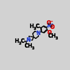 COc1cc(N2CCC3(CC2)CN(C(C)C)C3)c(C)cc1[N+](=O)[O-]